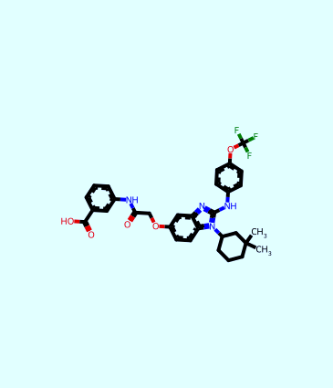 CC1(C)CCCC(n2c(Nc3ccc(OC(F)(F)F)cc3)nc3cc(OCC(=O)Nc4cccc(C(=O)O)c4)ccc32)C1